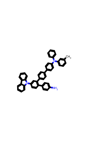 Cc1cccc(N(c2ccccc2)c2ccc(-c3ccc(-c4cc(-n5c6ccccc6c6ccccc65)ccc4-c4ccc(N)cc4)cc3)cc2)c1